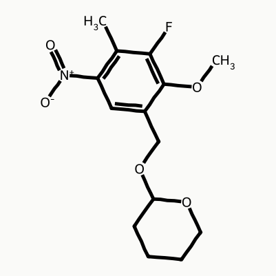 COc1c(COC2CCCCO2)cc([N+](=O)[O-])c(C)c1F